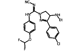 CCNC1CN(/C(=N/C#N)Nc2ccc(OC(F)F)cc2)N=C1c1ccc(Cl)cc1